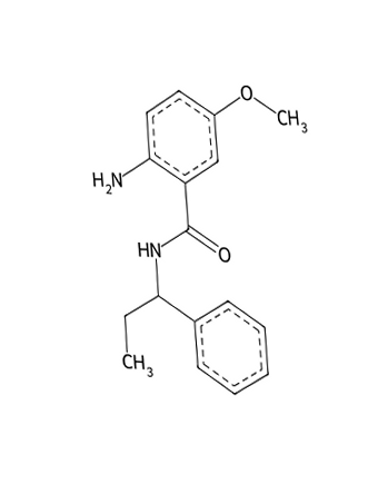 CCC(NC(=O)c1cc(OC)ccc1N)c1ccccc1